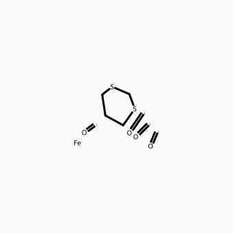 C1CSCSC1.[C]=O.[C]=O.[C]=O.[C]=O.[Fe]